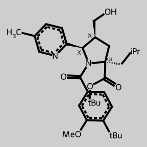 COc1cc(C(=O)N2[C@@H](c3ccc(C)cn3)[C@@H](CO)C[C@@]2(CC(C)C)C(=O)OC(C)(C)C)ccc1C(C)(C)C